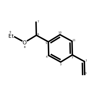 C=Cc1ccc(C(C)OCC)cc1